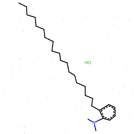 CCCCCCCCCCCCCCCCCCCc1ccccc1N(C)C.Cl